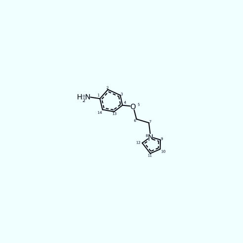 Nc1ccc(OCCn2cccc2)cc1